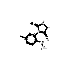 CCC(C)Oc1ccc(C)cc1N1C(=N)SCC1=O